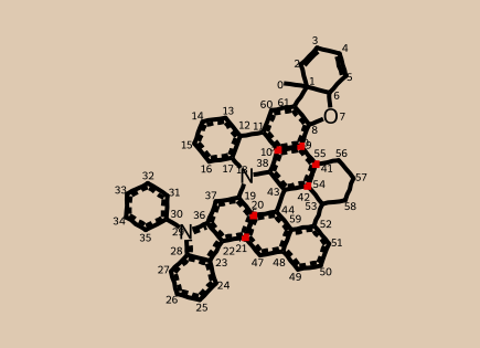 CC12C=CC=CC1Oc1ccc(-c3ccccc3N(c3ccc4c5ccccc5n(-c5ccccc5)c4c3)c3ccccc3-c3cccc4cccc(C5CCCCC5)c34)cc12